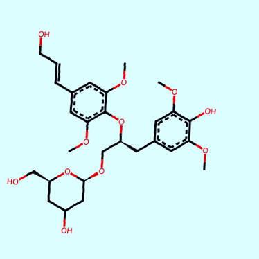 COc1cc(C[C@@H](CO[C@H]2CC(O)C[C@@H](CO)O2)Oc2c(OC)cc(/C=C/CO)cc2OC)cc(OC)c1O